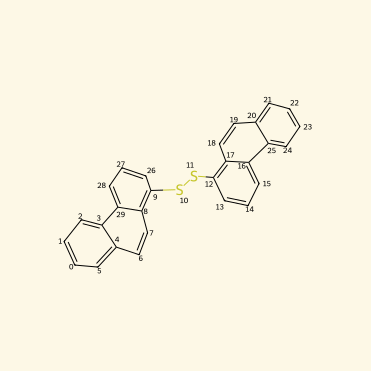 c1ccc2c(c1)ccc1c(SSc3cccc4c3ccc3ccccc34)cccc12